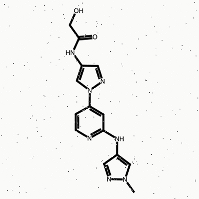 Cn1cc(Nc2cc(-n3cc(NC(=O)CO)cn3)ccn2)cn1